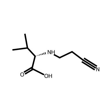 CC(C)[C@H](NCCC#N)C(=O)O